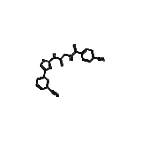 N#Cc1cccc(-c2csc(NC(=O)CNC(=O)c3ccc(N)cc3)n2)c1